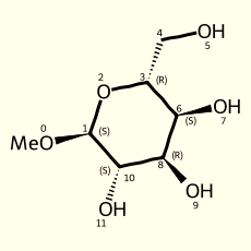 CO[C@H]1O[C@H](CO)[C@@H](O)[C@@H](O)[C@@H]1O